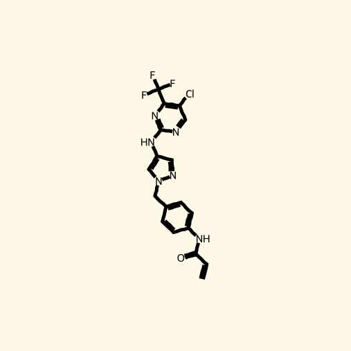 C=CC(=O)Nc1ccc(Cn2cc(Nc3ncc(Cl)c(C(F)(F)F)n3)cn2)cc1